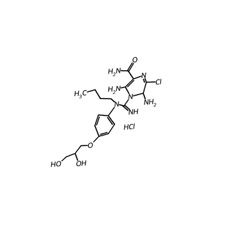 CCCCN(C(=N)N1C(N)=C(C(N)=O)N=C(Cl)C1N)c1ccc(OCC(O)CO)cc1.Cl